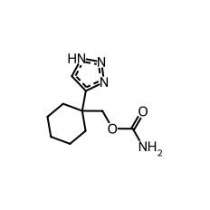 NC(=O)OCC1(c2c[nH]nn2)CCCCC1